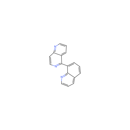 c1cnc2c(-c3nccc4ncccc34)cccc2c1